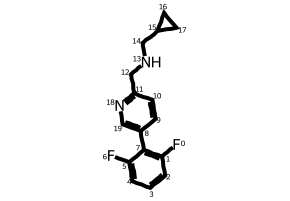 Fc1cccc(F)c1-c1ccc(CNCC2CC2)nc1